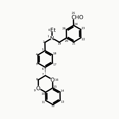 CCN(Cc1ccc([C@H]2COc3ccccc3O2)cc1)Cc1cccc(C=O)c1